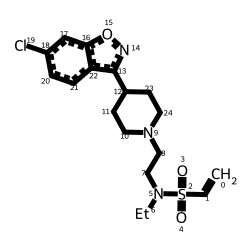 C=CS(=O)(=O)N(CC)CCN1CCC(c2noc3cc(Cl)ccc23)CC1